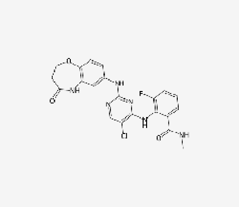 CNC(=O)c1cccc(F)c1Nc1nc(Nc2ccc3c(c2)NC(=O)CCO3)ncc1Cl